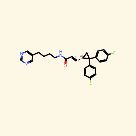 O=C(/C=C/[C@@H]1CC1(c1ccc(F)cc1)c1ccc(F)cc1)NCCCCc1cncnc1